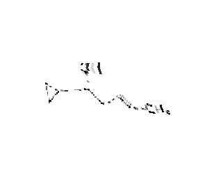 C/C=C/C[C@@H](O)C1CC1